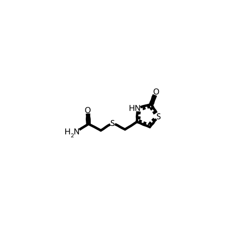 NC(=O)CSCc1csc(=O)[nH]1